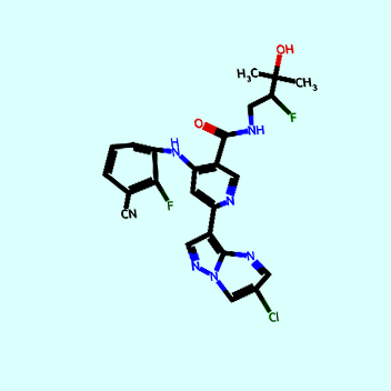 CC(C)(O)C(F)CNC(=O)c1cnc(-c2cnn3cc(Cl)cnc23)cc1Nc1cccc(C#N)c1F